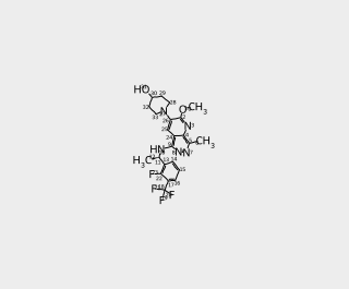 COc1nc2c(C)nnc(N[C@H](C)c3cccc(C(F)(F)F)c3F)c2cc1N1CCC(O)CC1